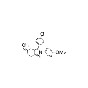 COc1ccc(-n2nc3c(c2-c2ccc(Cl)cc2)CC(=NO)CC3)cc1